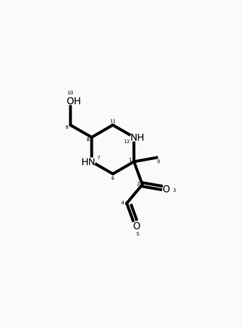 CC1(C(=O)C=O)CNC(CO)CN1